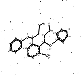 CCCC(Oc1ccccc1)c1cccc(O)c1C(CCC)Oc1ccccc1